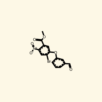 COC(=O)c1cc(Oc2cccc(C=O)c2)c(Br)cc1[N+](=O)[O-]